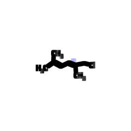 CC(C)=C/C=C(\C)CCl